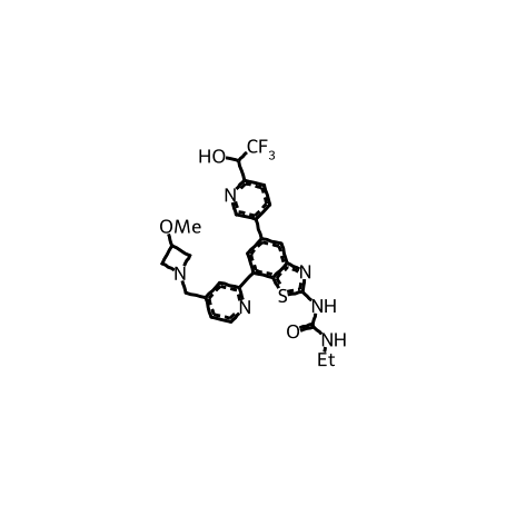 CCNC(=O)Nc1nc2cc(-c3ccc(C(O)C(F)(F)F)nc3)cc(-c3cc(CN4CC(OC)C4)ccn3)c2s1